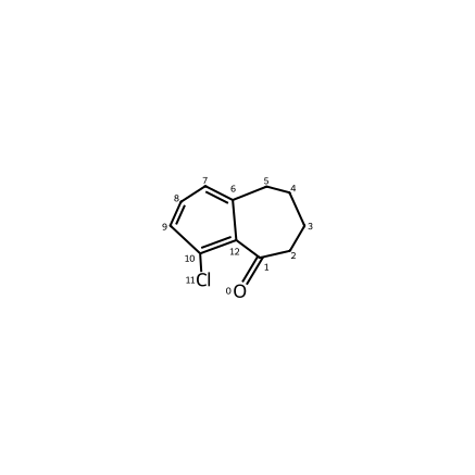 O=C1CCCCc2cccc(Cl)c21